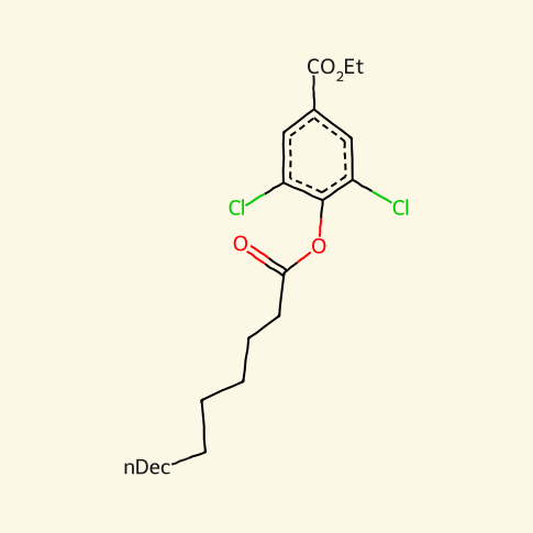 CCCCCCCCCCCCCCCC(=O)Oc1c(Cl)cc(C(=O)OCC)cc1Cl